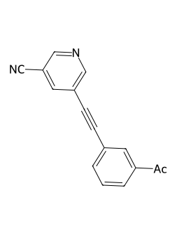 CC(=O)c1cccc(C#Cc2cncc(C#N)c2)c1